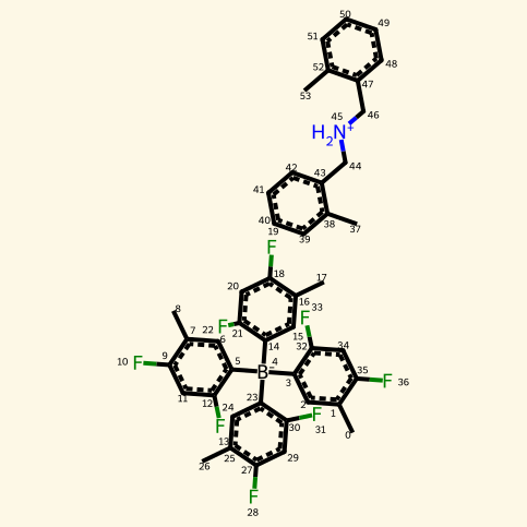 Cc1cc([B-](c2cc(C)c(F)cc2F)(c2cc(C)c(F)cc2F)c2cc(C)c(F)cc2F)c(F)cc1F.Cc1ccccc1C[NH2+]Cc1ccccc1C